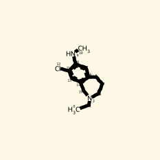 CCN1CCCc2cc(NC)c(Cl)cc2C1